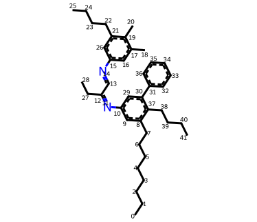 CCCCCCCCc1cc(N=C(C=Nc2cc(C)c(C)c(CCCC)c2)CC)cc(-c2ccccc2)c1CCCC